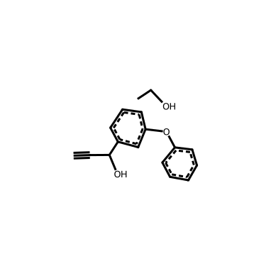 C#CC(O)c1cccc(Oc2ccccc2)c1.CCO